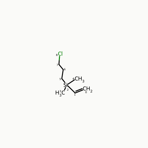 C=C[Si](C)(C)CCCCl